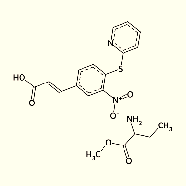 CCC(N)C(=O)OC.O=C(O)C=Cc1ccc(Sc2ccccn2)c([N+](=O)[O-])c1